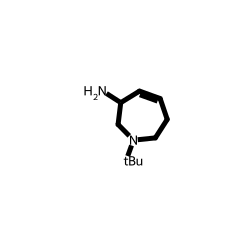 CC(C)(C)N1CCC=CC(N)C1